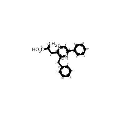 C=C(Cc1ncc(-c2ccccc2)nc1Cc1ccccc1)C(=O)O